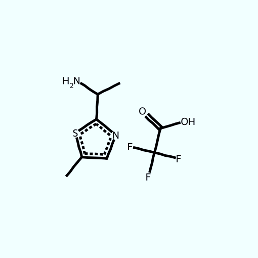 Cc1cnc(C(C)N)s1.O=C(O)C(F)(F)F